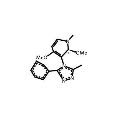 COC1=C(n2c(C)nnc2-c2ccccc2)[C@H](OC)N(C)C=C1